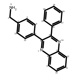 NCc1ccc(-c2nc3ccccc3nc2-c2ccccc2)cc1